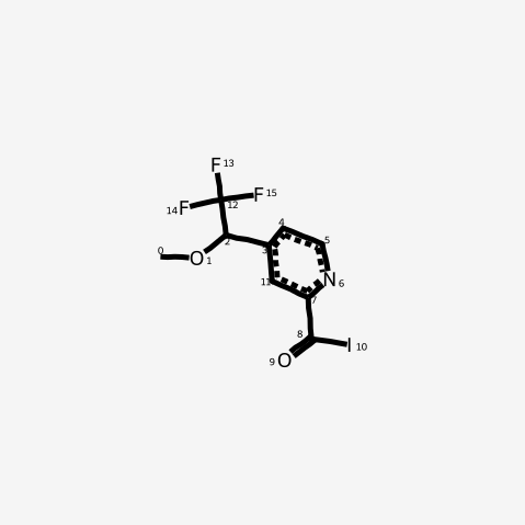 COC(c1ccnc(C(=O)I)c1)C(F)(F)F